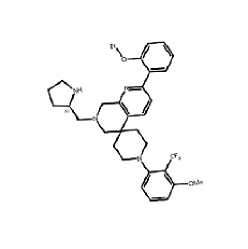 CCOc1ccccc1-c1ccc2c(n1)CN(C[C@H]1CCCN1)CC21CCN(c2cccc(OC)c2C(F)(F)F)CC1